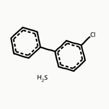 Clc1cccc(-c2ccccc2)c1.S